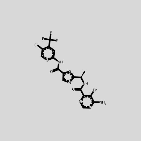 C[C@@H](NC(=O)c1ncnc(N)c1Br)c1ncc(C(=O)Nc2cc(C(F)(F)F)c(Cl)cn2)s1